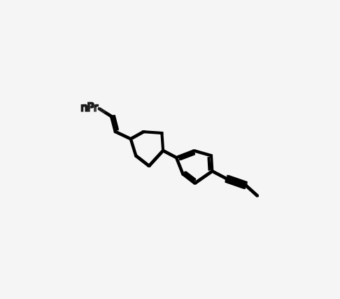 CC#Cc1ccc(C2CCC(C=CCCC)CC2)cc1